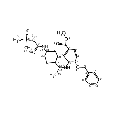 COC(=O)c1ccc(OCc2ccccc2)c(N[C@@H](C)C2CCC(NC(=O)OC(C)(C)C)CC2)c1